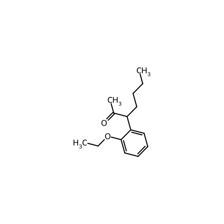 CCCCC(C(C)=O)c1ccccc1OCC